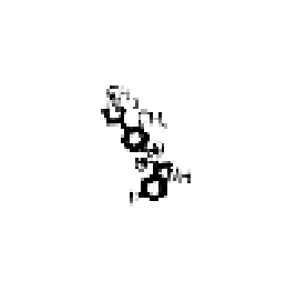 Cc1cc(S(=O)(=O)c2c[nH]c3c2=CC(F)CC=3)ccc1C1CCN(C)C1